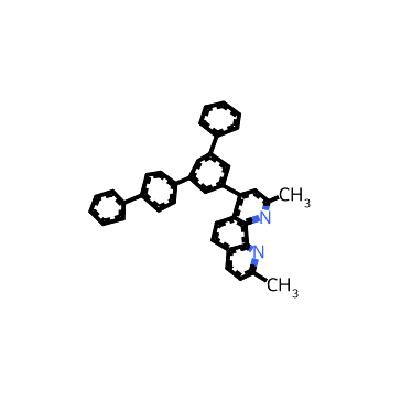 Cc1ccc2ccc3c(-c4cc(-c5ccccc5)cc(-c5ccc(-c6ccccc6)cc5)c4)cc(C)nc3c2n1